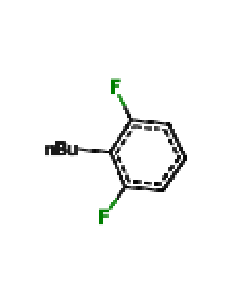 CCCCc1c(F)cccc1F